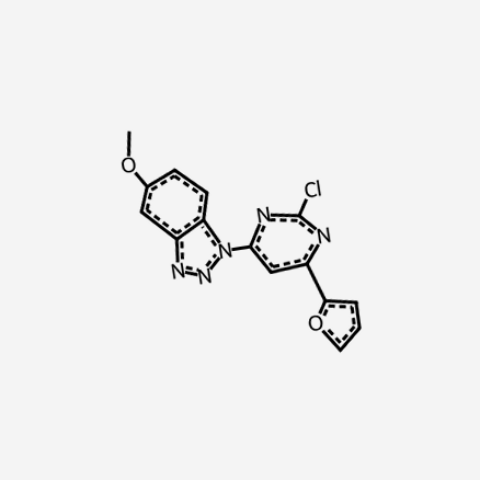 COc1ccc2c(c1)nnn2-c1cc(-c2ccco2)nc(Cl)n1